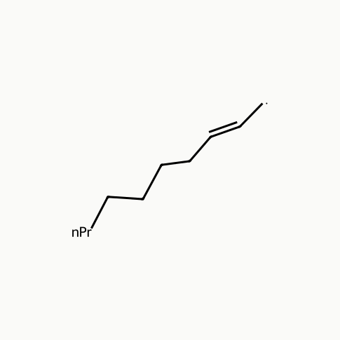 [CH2]/C=C/CCCCCCC